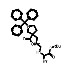 COC(=O)C1(CCCNC(C(=O)OC(C)(C)C)C(C)C)CCN(C(c2ccccc2)(c2ccccc2)c2ccccc2)C1